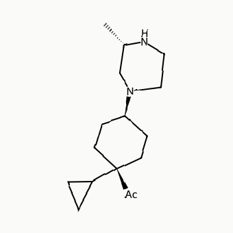 CC(=O)[C@]1(C2CC2)CC[C@H](N2CCN[C@@H](C)C2)CC1